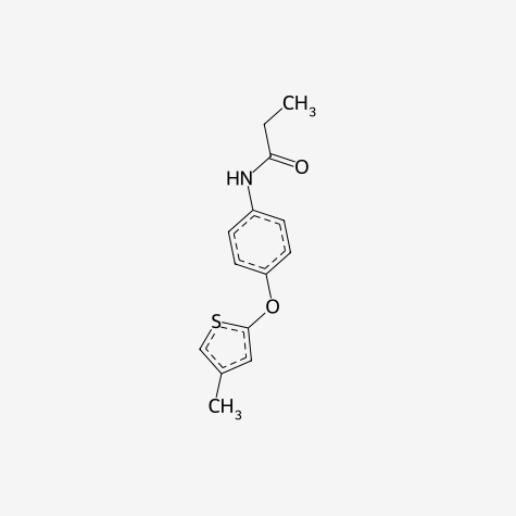 CCC(=O)Nc1ccc(Oc2cc(C)cs2)cc1